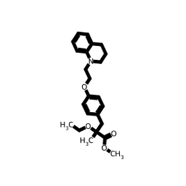 CCOC(C)(Cc1ccc(OCCN2CCCc3ccccc32)cc1)C(=O)OC